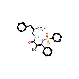 N#CC(C(=O)NCC(=Cc1ccccc1)C(=O)O)=C(NS(=O)(=O)c1ccccc1)c1ccccc1